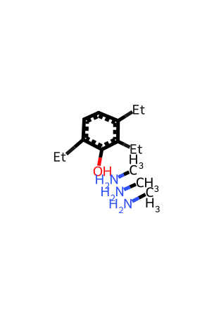 CCc1ccc(CC)c(CC)c1O.CN.CN.CN